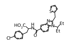 CCC(CC)n1c(Cc2cccs2)nc2cc(C(=O)NC(Cc3ccc(Cl)cc3)C(=O)O)ccc21